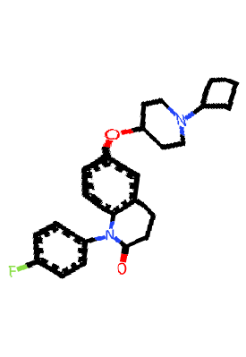 O=C1CCc2cc(OC3CCN(C4CCC4)CC3)ccc2N1c1ccc(F)cc1